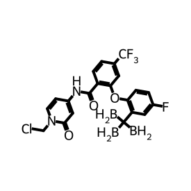 BC(B)(B)c1cc(F)ccc1Oc1cc(C(F)(F)F)ccc1C(=O)Nc1ccn(CCl)c(=O)c1